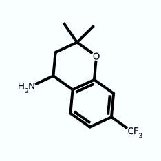 CC1(C)CC(N)c2ccc(C(F)(F)F)cc2O1